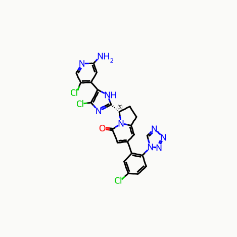 Nc1cc(-c2[nH]c([C@@H]3CCc4cc(-c5cc(Cl)ccc5-n5cnnn5)cc(=O)n43)nc2Cl)c(Cl)cn1